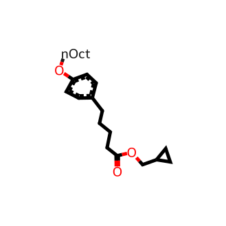 CCCCCCCCOc1ccc(CCCCC(=O)OCC2CC2)cc1